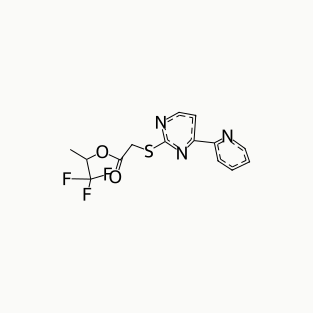 CC(OC(=O)CSc1nccc(-c2ccccn2)n1)C(F)(F)F